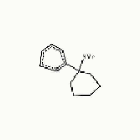 CNC1(c2ccccc2)CCCCC1